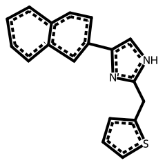 c1csc(Cc2nc(-c3ccc4ccccc4c3)c[nH]2)c1